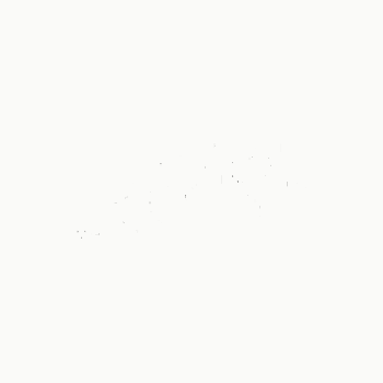 COc1ccc(-c2ccc(CC(NC(=O)OC(C)(C)C)C(=O)O)cc2)cc1